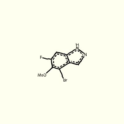 COc1c(F)cc2[nH]ncc2c1Br